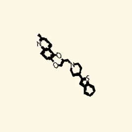 Cc1ccc2c3c(ccc2n1)OCC(CN1CC=C(c2cc4ccccc4s2)CC1)O3